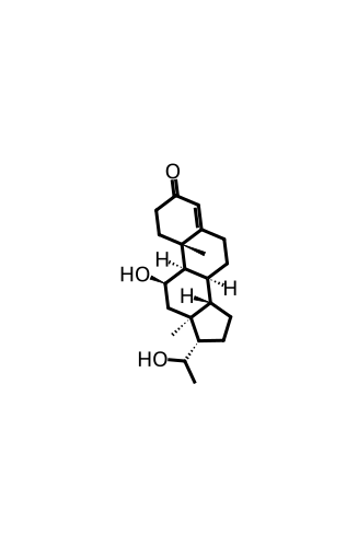 CC(O)[C@H]1CC[C@H]2[C@@H]3CCC4=CC(=O)CC[C@@]4(C)[C@@H]3[C@H](O)C[C@]12C